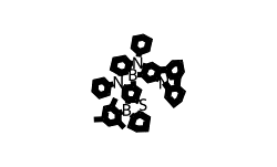 Cc1cc(C)c(B2c3ccccc3Sc3cc4c(cc32)N(c2ccccc2)c2cccc3c2B4c2cc4c(cc2N3c2ccccc2)c2cccc3c5ccccc5n4c32)c(C)c1